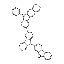 c1ccc(-n2c3ccc(-c4ccc5c(c4)c4ccccc4n5-c4ccc5c(c4)oc4ccccc45)cc3c3cc4ccccc4cc32)cc1